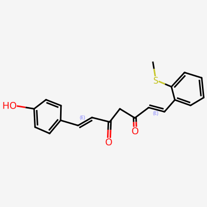 CSc1ccccc1/C=C/C(=O)CC(=O)/C=C/c1ccc(O)cc1